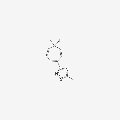 Cc1nc(C2=CC=CC(C)(I)C=C2)ns1